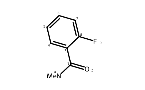 CNC(=O)c1cc[c]cc1F